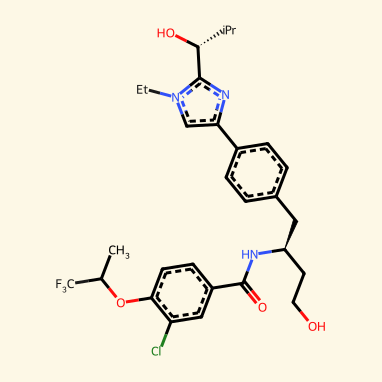 CCn1cc(-c2ccc(C[C@@H](CCO)NC(=O)c3ccc(OC(C)C(F)(F)F)c(Cl)c3)cc2)nc1[C@H](O)C(C)C